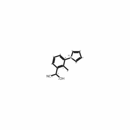 Cc1c(C(O)C#N)cccc1-n1cccc1